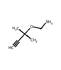 C#CC(C)(C)OC[SiH3]